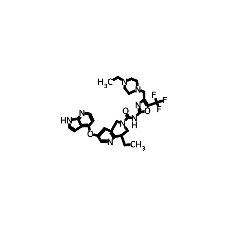 CCC1CN(C(=O)Nc2nc(CN3CCN(CC)CC3)c(C(F)(F)F)o2)Cc2cc(Oc3ccnc4[nH]ccc34)cnc21